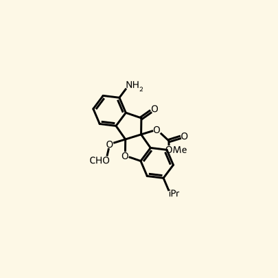 COC(=O)OC12C(=O)c3c(N)cccc3C1(OC=O)Oc1cc(C(C)C)ccc12